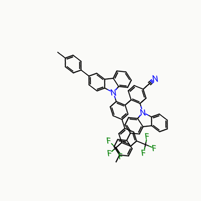 Cc1ccc(-c2ccc3c(c2)c2ccccc2n3-c2ccc(-c3cc(C(F)(F)F)cc(C(F)(F)F)c3)cc2-c2ccc(C#N)cc2-n2c3ccccc3c3cc(-c4ccc(C)cc4)ccc32)cc1